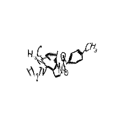 Cc1ccc(S(=O)(=O)n2ccc3c(N)nc(C)nc32)cc1